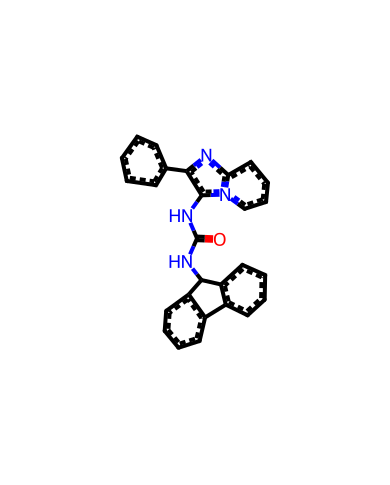 O=C(Nc1c(-c2ccccc2)nc2ccccn12)NC1c2ccccc2-c2ccccc21